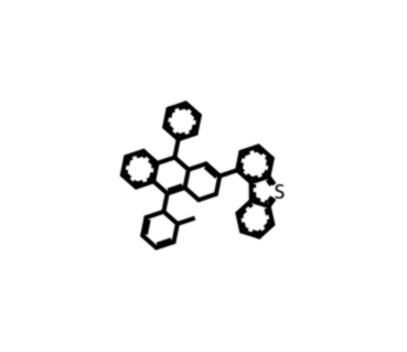 CC1C=CC=CC1C1=C2CCC(c3cccc4sc5ccccc5c34)=CC2C(c2ccccc2)c2ccccc21